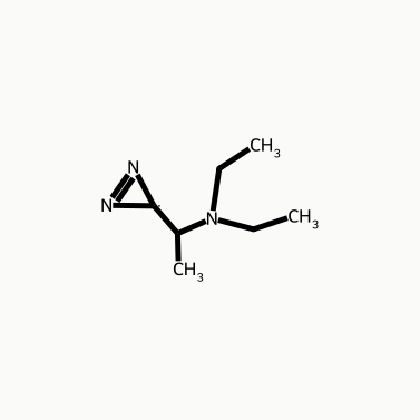 CCN(CC)C(C)[C]1N=N1